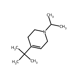 CC(C)N1CC=C(C(C)(C)C)CC1